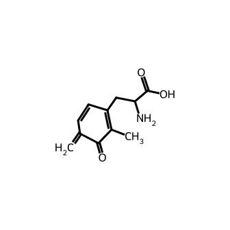 C=C1C=CC(CC(N)C(=O)O)=C(C)C1=O